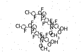 COCCn1c(Cc2c(F)cc(-c3ccc(F)c(OCc4ccc(Cl)cc4F)n3)c(F)c2F)nc2c(F)cc(C(=O)O)cc21.COCCn1c(Cc2c(F)cc(-c3ccc(F)c(OCc4ccc(Cl)cc4F)n3)c(F)c2F)nc2c(F)cc(C(=O)O)cc21